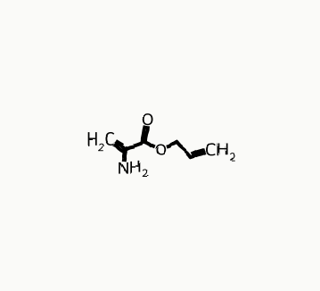 C=CCOC(=O)C(=C)N